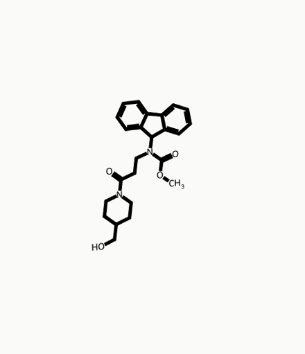 COC(=O)N(CCC(=O)N1CCC(CO)CC1)C1c2ccccc2-c2ccccc21